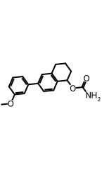 COc1cccc(-c2ccc3c(c2)CCCC3OC(N)=O)c1